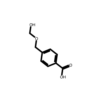 O=C(O)c1ccc(COCO)cc1